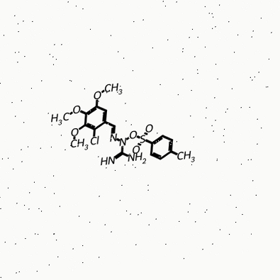 COc1cc(C=NN(OS(=O)(=O)c2ccc(C)cc2)C(=N)N)c(Cl)c(OC)c1OC